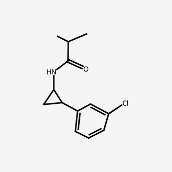 CC(C)C(=O)NC1CC1c1cccc(Cl)c1